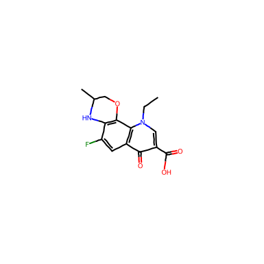 CCn1cc(C(=O)O)c(=O)c2cc(F)c3c(c21)OCC(C)N3